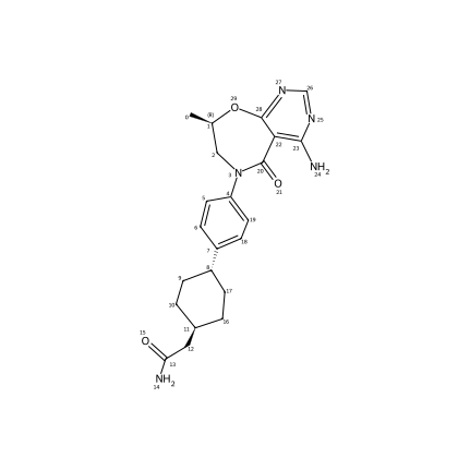 C[C@@H]1CN(c2ccc([C@H]3CC[C@H](CC(N)=O)CC3)cc2)C(=O)c2c(N)ncnc2O1